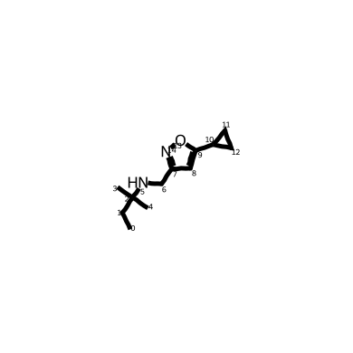 CCC(C)(C)NCc1cc(C2CC2)on1